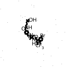 Cc1nn(Cc2ccc(C(=O)NCCCC(C)(C)CO)cc2)c(C)c1NC(=O)c1cc(C(F)(F)F)nc2ccc(Br)cc12